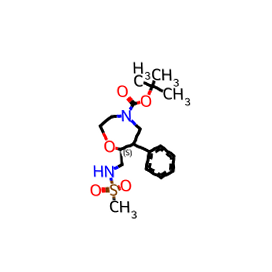 CC(C)(C)OC(=O)N1CCO[C@H](CNS(C)(=O)=O)C(c2ccccc2)C1